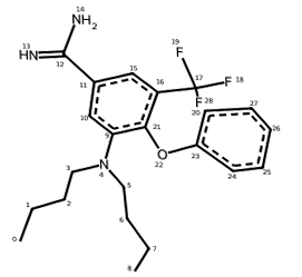 CCCCN(CCCC)c1cc(C(=N)N)cc(C(F)(F)F)c1Oc1ccccc1